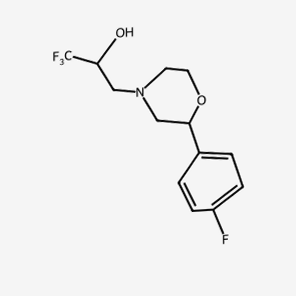 OC(CN1CCOC(c2ccc(F)cc2)C1)C(F)(F)F